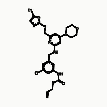 C=CCOC(=O)Nc1cc(Cl)cc(CNc2cc(N3CCOCC3)cc(CSc3ncc(CC)s3)n2)c1